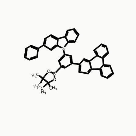 CC1(C)OB(c2cc(-c3ccc4c5ccccc5c5ccccc5c4c3)cc(-n3c4ccccc4c4ccc(-c5ccccc5)cc43)c2)OC1(C)C